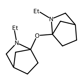 CCN1CC2CCC1(OC13CCC(CN1CC)C3)C2